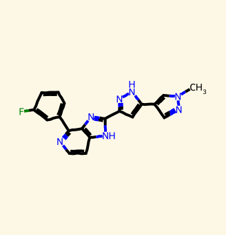 Cn1cc(-c2cc(-c3nc4c(-c5cccc(F)c5)nccc4[nH]3)n[nH]2)cn1